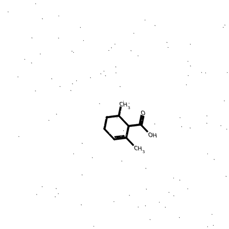 CC1=CCCC(C)C1C(=O)O